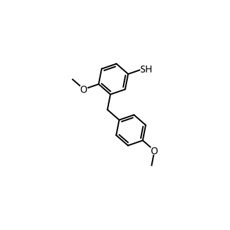 COc1ccc(Cc2cc(S)ccc2OC)cc1